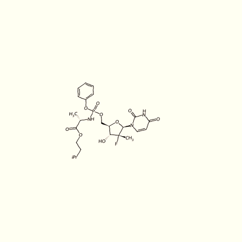 CC(C)CCOC(=O)[C@H](C)NP(=O)(OC[C@H]1O[C@@H](n2ccc(=O)[nH]c2=O)[C@](C)(F)[C@@H]1O)Oc1ccccc1